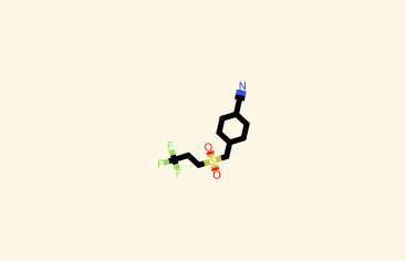 N#CC1CCC(CS(=O)(=O)CCC(F)(F)F)CC1